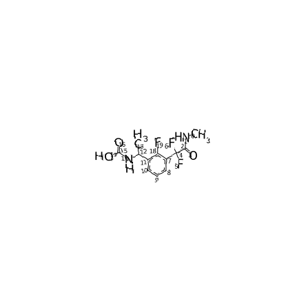 CNC(=O)C(F)(F)c1cccc(C(C)NC(=O)O)c1F